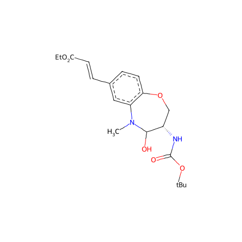 CCOC(=O)/C=C/c1ccc2c(c1)N(C)C(O)[C@@H](NC(=O)OC(C)(C)C)CO2